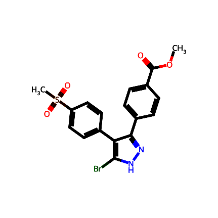 COC(=O)c1ccc(-c2n[nH]c(Br)c2-c2ccc(S(C)(=O)=O)cc2)cc1